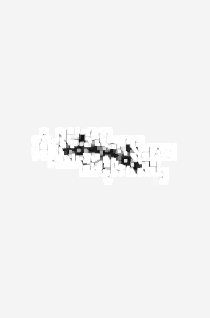 CCC(CC)[C@@H](NC(C)=O)[C@@H]1[C@H](OCC(=O)NBNC(=O)CO[C@H]2[C@@H]([C@H](NC(C)=O)C(CC)CC)[C@H](NC(=N)N)C[C@@H]2C(=O)O)[C@@H](C(=O)O)C[C@H]1NC(=N)N